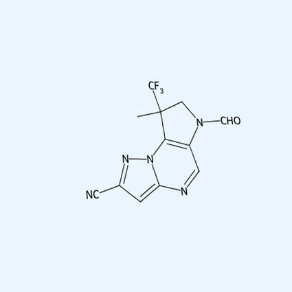 CC1(C(F)(F)F)CN(C=O)c2cnc3cc(C#N)nn3c21